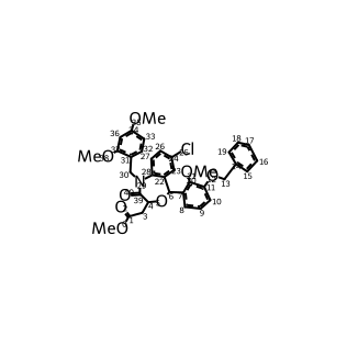 COC(=O)CC1OC(c2cccc(OCc3ccccc3)c2OC)c2cc(Cl)ccc2N(Cc2ccc(OC)cc2OC)C1=O